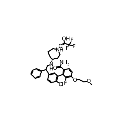 COCCOc1ccc(C(N)=O)c(-c2cc(C(CN[C@H]3CCCNCC3)c3ccccc3)ccc2Cl)c1F.O=C(O)C(F)(F)F